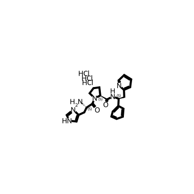 Cl.Cl.Cl.N[C@@H](Cc1c[nH]cn1)C(=O)N1CCC[C@H]1C(=O)N[C@@H](Cc1ccccn1)c1ccccc1